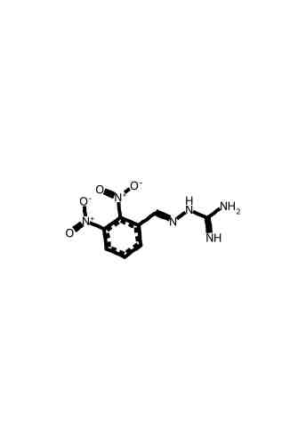 N=C(N)N/N=C/c1cccc([N+](=O)[O-])c1[N+](=O)[O-]